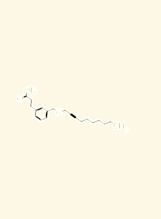 CCCCCCCC#CCOCc1cccc(CCC(=O)O)c1